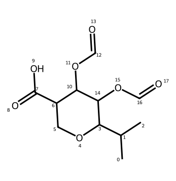 CC(C)C1OCC(C(=O)O)C(OC=O)C1OC=O